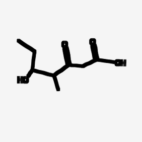 CCC(O)C(C)C(=O)CC(=O)O